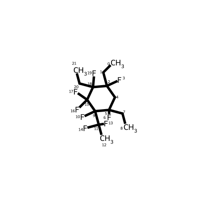 CCC1(F)CC(F)(CC)C(F)(C(C)(F)F)C(F)(F)C1(F)CC